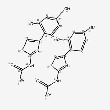 CCCC(=O)Nc1nc(-c2ccc(O)cc2O)cs1.CCCC(=O)Nc1nc(-c2ccc(O)cc2O)cs1